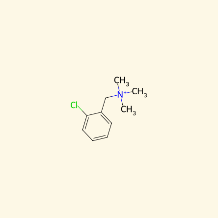 C[N+](C)(C)Cc1ccccc1Cl